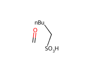 C=O.CCCCCS(=O)(=O)O